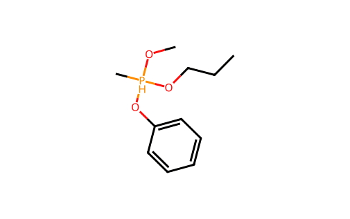 CCCO[PH](C)(OC)Oc1ccccc1